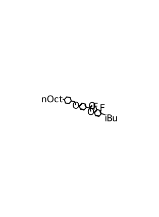 CCCCCCCCC1CCC(COc2ccc(C(=O)Oc3ccc(C[C@@H](C)CC)c(F)c3F)cc2)CC1